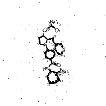 NC(=O)O[C@H]1CCN(c2ccc(C(=O)Nc3ccccc3N)cc2)C1Cc1cccnc1